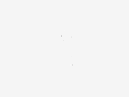 CC(C)(S)c1ccc(-c2noc(=S)[nH]2)cc1